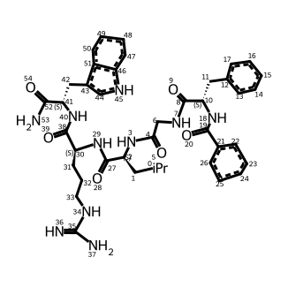 CC(C)C[C@H](NC(=O)CNC(=O)[C@H](Cc1ccccc1)NC(=O)c1ccccc1)C(=O)N[C@@H](CCCNC(=N)N)C(=O)N[C@@H](Cc1c[nH]c2ccccc12)C(N)=O